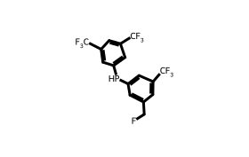 FCc1cc(Pc2cc(C(F)(F)F)cc(C(F)(F)F)c2)cc(C(F)(F)F)c1